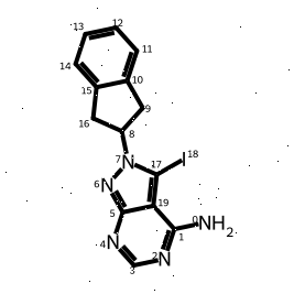 Nc1ncnc2nn(C3Cc4ccccc4C3)c(I)c12